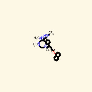 CCOC(=O)c1c(CCCOc2cccc3ccccc23)c2cccc3c2n1CCCN(C)Cc1c-3c(CNCC(F)(F)F)nn1C